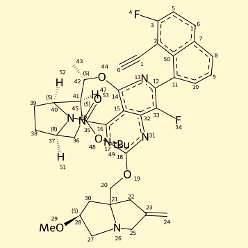 C#Cc1c(F)ccc2cccc(-c3nc4c5c(nc(OCC67CC(=C)CN6C[C@@H](OC)C7)nc5c3F)N3C[C@H]5CC[C@@H]([C@H]3[C@H](C)O4)N5C(=O)OC(C)(C)C)c12